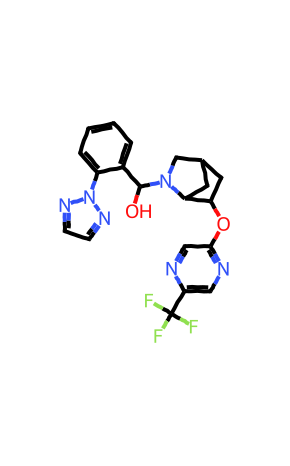 OC(c1ccccc1-n1nccn1)N1CC2CC(Oc3cnc(C(F)(F)F)cn3)C1C2